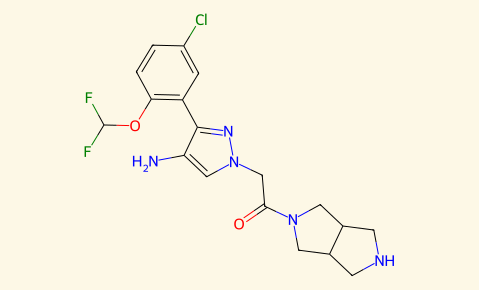 Nc1cn(CC(=O)N2CC3CNCC3C2)nc1-c1cc(Cl)ccc1OC(F)F